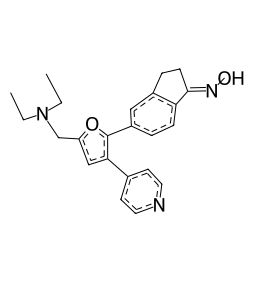 CCN(CC)Cc1cc(-c2ccncc2)c(-c2ccc3c(c2)CCC3=NO)o1